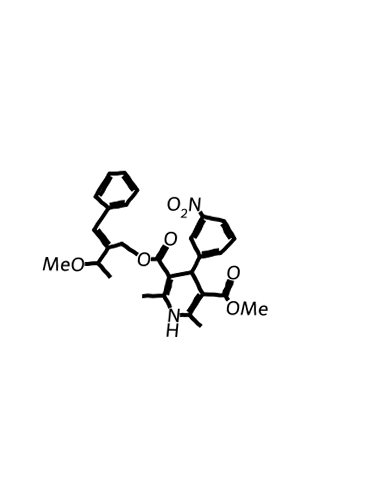 COC(=O)C1=C(C)NC(C)=C(C(=O)OC/C(=C\c2ccccc2)C(C)OC)C1c1cccc([N+](=O)[O-])c1